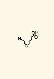 CN(CCC#N)CCCCC(=O)O